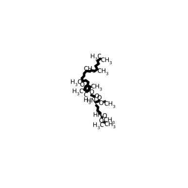 CCOC(=O)[C@H](CCCCNC(=O)OC(C)(C)C)NC(=O)COc1c(C)c(C)c2c(c1C)CC[C@@](C)(CCC[C@H](C)CCC[C@H](C)CCCC(C)C)O2